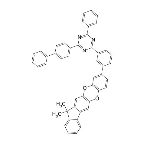 CC1(C)c2ccccc2-c2cc3c(cc21)Oc1cc(-c2cccc(-c4nc(-c5ccccc5)nc(-c5ccc(-c6ccccc6)cc5)n4)c2)ccc1O3